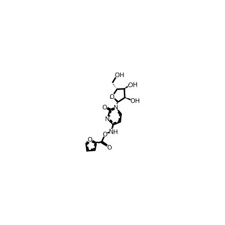 O=C(ONc1ccn([C@@H]2O[C@H](CO)[C@@H](O)[C@H]2O)c(=O)n1)c1ccco1